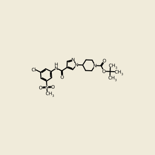 CC(C)(C)OC(=O)N1CCC(n2cc(C(=O)Nc3cc(Cl)cc(S(C)(=O)=O)c3)cn2)CC1